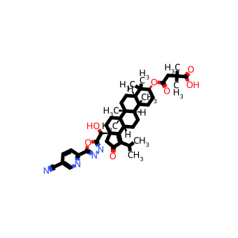 CC(C)C1=C2[C@H]3CC[C@@H]4[C@@]5(C)CC[C@H](OC(=O)CC(C)(C)C(=O)O)C(C)(C)[C@@H]5CC[C@@]4(C)[C@]3(C)CC[C@@]2(C(O)c2nnc(-c3ccc(C#N)cn3)o2)CC1=O